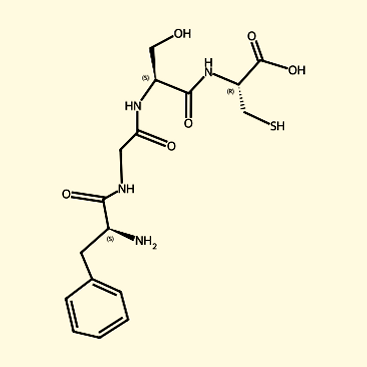 N[C@@H](Cc1ccccc1)C(=O)NCC(=O)N[C@@H](CO)C(=O)N[C@@H](CS)C(=O)O